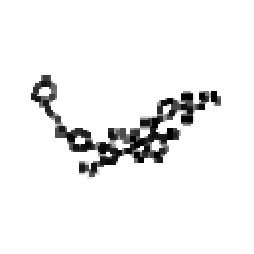 CCS(=O)(=O)N1CCC(Nc2c(Br)cnc3nc(-c4cc(C)n(-c5ccc(OCCN6CCOCC6)cc5)c4C)[nH]c23)C1